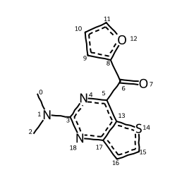 CN(C)c1nc(C(=O)c2ccco2)c2sccc2n1